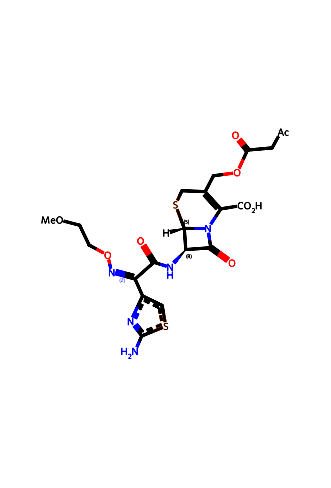 COCCO/N=C(\C(=O)N[C@@H]1C(=O)N2C(C(=O)O)=C(COC(=O)CC(C)=O)CS[C@@H]12)c1csc(N)n1